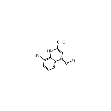 CCON1C=C(C=O)Nc2c(C(C)C)cccc21